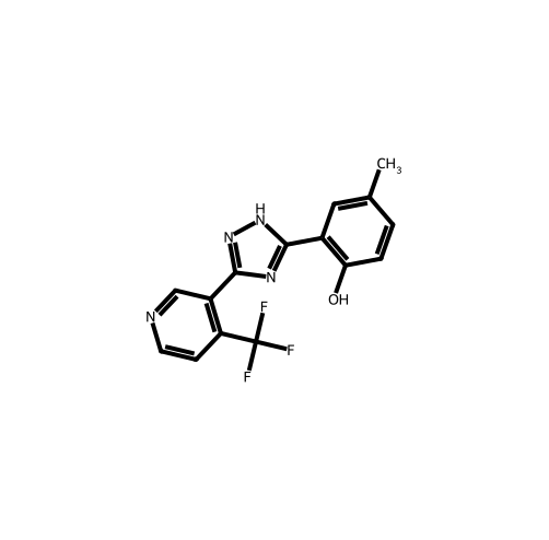 Cc1ccc(O)c(-c2nc(-c3cnccc3C(F)(F)F)n[nH]2)c1